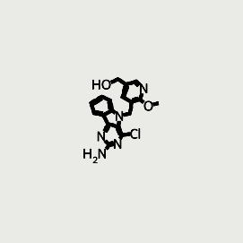 COc1ncc(CO)cc1Cn1c2ccccc2c2nc(N)nc(Cl)c21